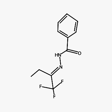 CC/C(=N\NC(=O)c1ccccc1)C(F)(F)F